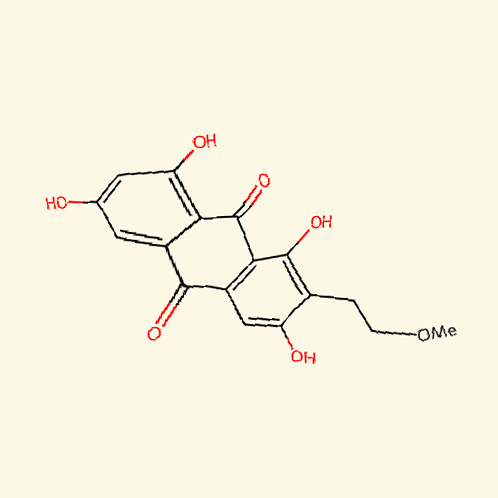 COCCc1c(O)cc2c(c1O)C(=O)c1c(O)cc(O)cc1C2=O